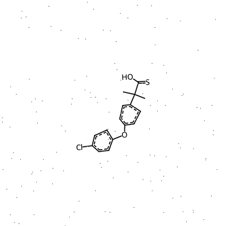 CC(C)(C(O)=S)c1ccc(Oc2ccc(Cl)cc2)cc1